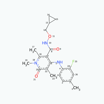 Cc1ccc(Nc2c(C(=O)NOCC3CC3)c(C)n(C)c(=O)c2C)c(F)c1